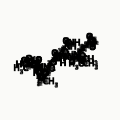 CC[C@@]1(O)C(=O)OCc2c1cc1n(c2=O)Cc2c-1nc1cc(F)c(C)c3c1c2[C@@H](NC(=O)COCNC(=O)[C@H](CCCNC(N)=O)NC(=O)CNC(=O)[C@H](COC(C)(C)C)NC(=O)CCCCCN1C(=O)C=CC1=O)CC3